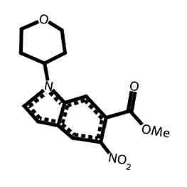 COC(=O)c1cc2c(ccn2C2CCOCC2)cc1[N+](=O)[O-]